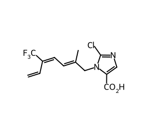 C=C/C(=C\C=C(/C)Cn1c(C(=O)O)cnc1Cl)C(F)(F)F